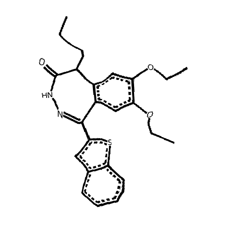 CCCC1C(=O)NN=C(c2cc3ccccc3s2)c2cc(OCC)c(OCC)cc21